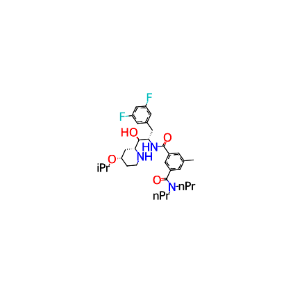 CCCN(CCC)C(=O)c1cc(C)cc(C(=O)N[C@@H](Cc2cc(F)cc(F)c2)[C@H](O)[C@H]2C[C@@H](OC(C)C)CCN2)c1